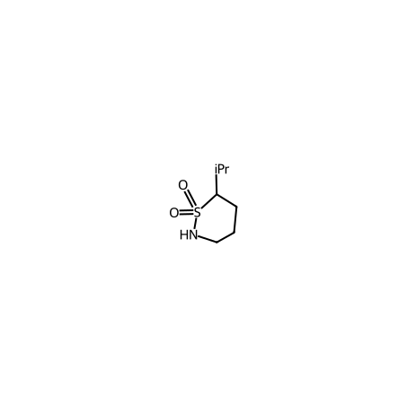 CC(C)C1CCCNS1(=O)=O